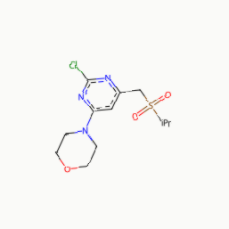 CC(C)S(=O)(=O)Cc1cc(N2CCOCC2)nc(Cl)n1